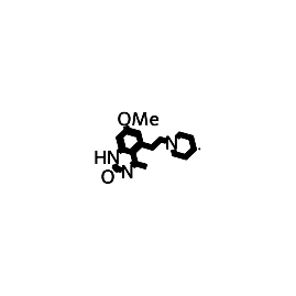 COc1cc(CCN2CC[CH]CC2)c2c(C)nc(=O)[nH]c2c1